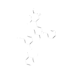 O=c1[nH]cc(-c2cc(-c3cc(Cl)cc(OCc4ccccc4Cl)c3)c(=O)n(-c3cccnc3)c2)c(=O)[nH]1